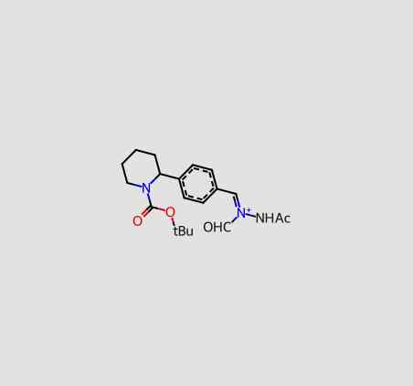 CC(=O)N[N+](C=O)=Cc1ccc(C2CCCCN2C(=O)OC(C)(C)C)cc1